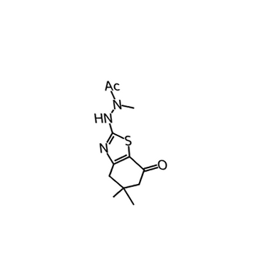 CC(=O)N(C)Nc1nc2c(s1)C(=O)CC(C)(C)C2